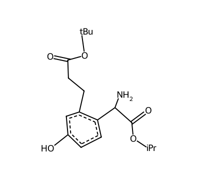 CC(C)OC(=O)C(N)c1ccc(O)cc1CCC(=O)OC(C)(C)C